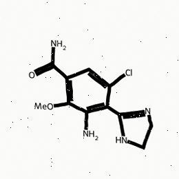 COc1c(C(N)=O)cc(Cl)c(C2=NCCN2)c1N